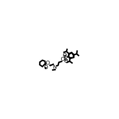 CCN(CCCOS(=O)(=O)c1c(C(C)C)cc(C(C)C)cc1C(C)C)CCOC1(OC)CCCCC1